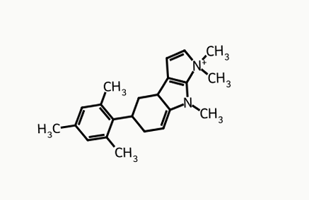 Cc1cc(C)c(C2CC=C3C(C2)C2=C(N3C)[N+](C)(C)C=C2)c(C)c1